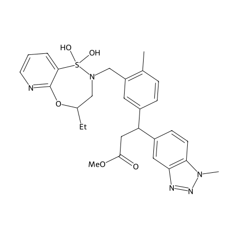 CCC1CN(Cc2cc(C(CC(=O)OC)c3ccc4c(c3)nnn4C)ccc2C)S(O)(O)c2cccnc2O1